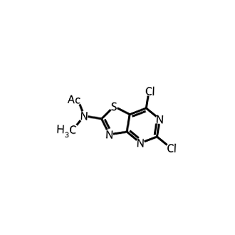 CC(=O)N(C)c1nc2nc(Cl)nc(Cl)c2s1